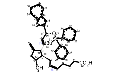 C=C1C[C@H](O)[C@H](C/C=C\CCCC(=O)O)[C@H]1/C=C/[C@@H](O[Si](c1ccccc1)(c1ccccc1)C(C)(C)C)c1cc2ccccc2s1